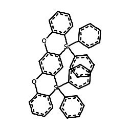 c1ccc([Si]2(c3ccccc3)c3ccccc3Oc3cc4c(cc32)[Si](c2ccccc2)(c2ccccc2)c2ccccc2O4)cc1